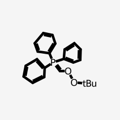 CC(C)(C)OOC=P(c1ccccc1)(c1ccccc1)c1ccccc1